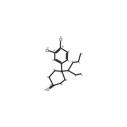 CCCC(CC)C1(c2ccc(Cl)c(Cl)c2)CCC(=O)CC1